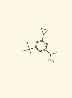 BC(C)c1cc(C(F)(F)F)cc(C2CC2)n1